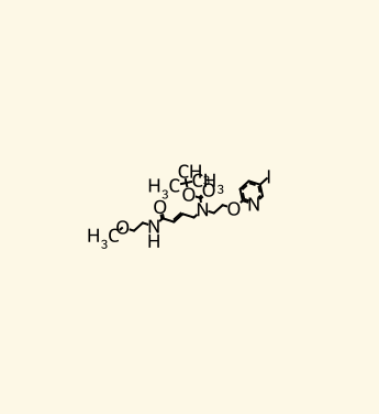 COCCNC(=O)/C=C/CN(CCOc1ccc(I)cn1)C(=O)OC(C)(C)C